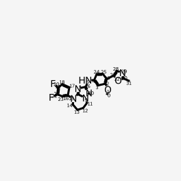 COc1cc(Nc2nc3n(n2)CCCCN3c2ccc(F)c(F)c2)ccc1-c1cnc(C)o1